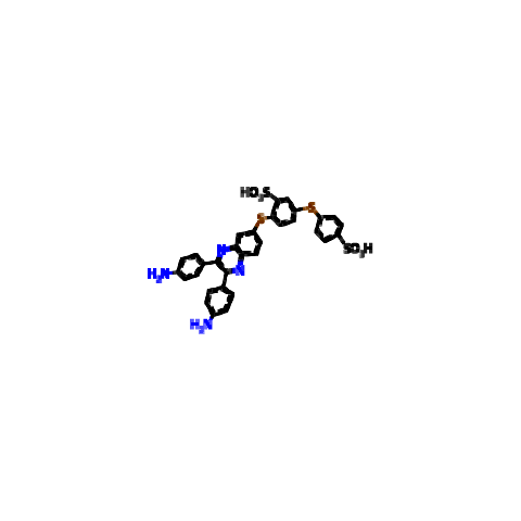 Nc1ccc(-c2nc3ccc(Sc4ccc(Sc5ccc(S(=O)(=O)O)cc5)cc4S(=O)(=O)O)cc3nc2-c2ccc(N)cc2)cc1